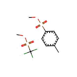 COS(=O)(=O)C(F)(F)F.COS(=O)(=O)c1ccc(C)cc1